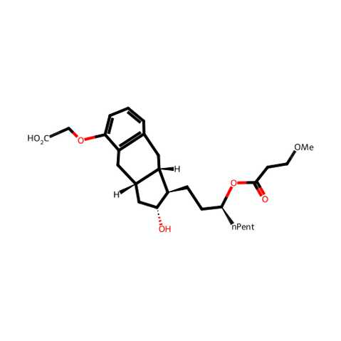 CCCCC[C@@H](CC[C@@H]1[C@H]2Cc3cccc(OCC(=O)O)c3C[C@H]2C[C@H]1O)OC(=O)CCOC